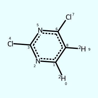 [2H]c1nc(Cl)nc(Cl)c1[2H]